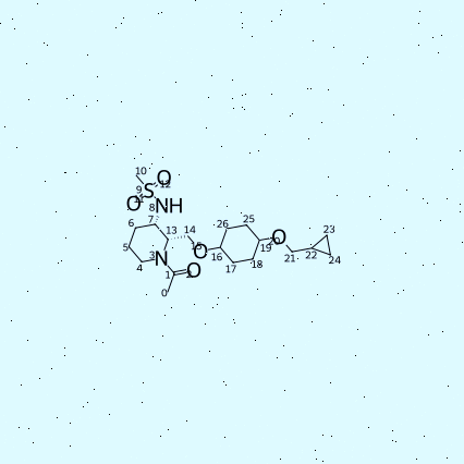 CC(=O)N1CCC[C@H](NS(C)(=O)=O)[C@@H]1COC1CCC(OCC2CC2)CC1